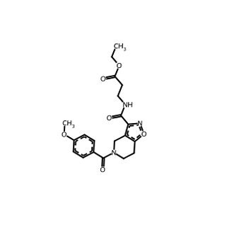 CCOC(=O)CCNC(=O)c1noc2c1CN(C(=O)c1ccc(OC)cc1)CC2